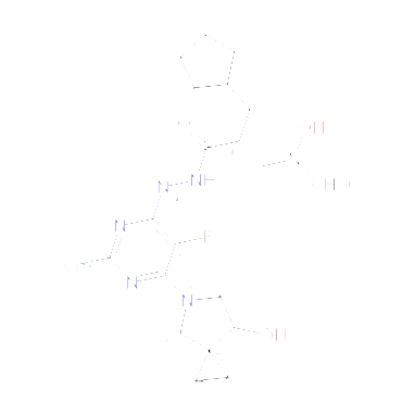 O=CN(O)C[C@@H](CC1CCCC1)C(=O)NNc1nc(Cl)nc(N2CC(O)C3(CC3)C2)c1F